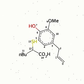 C=CCc1ccc(O)c(OC)c1.CCCCC(S)C(=O)O